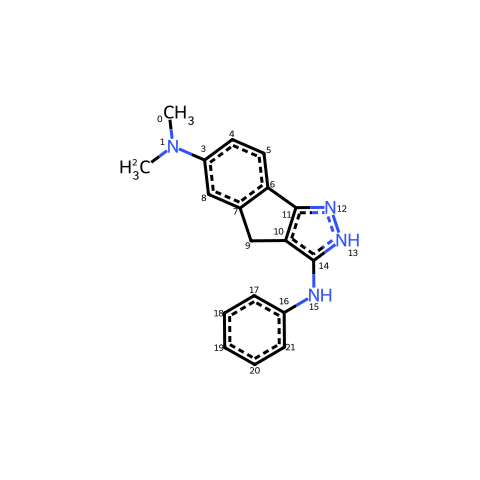 CN(C)c1ccc2c(c1)Cc1c-2n[nH]c1Nc1ccccc1